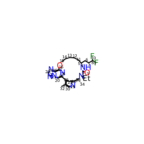 CCN1C(=O)NC(CCC(F)F)CCCCCOc2nc(cn3ncnc23)-c2cc(ncc2C)[C@H]1C